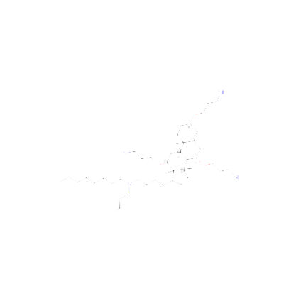 CCCCCCCCN(CCCS)CCC[C@@H](C)C1CC[C@H]2C3[C@H](OCCCN)CC4C[C@H](OCCCN)CCC4(C)[C@H]3C[C@H](OCCCN)C12C